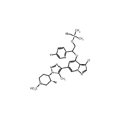 Cc1c(-c2cc(OC(CO[Si](C)(C)C(C)(C)C)c3ccc(F)cn3)c3c(Cl)cnn3c2)nnn1[C@@H]1CCN(C(=O)O)C[C@@H]1F